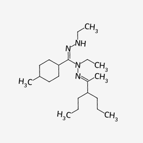 CCCC(CCC)/C(C)=N/N(CC)/C(=N\NCC)C1CCC(C)CC1